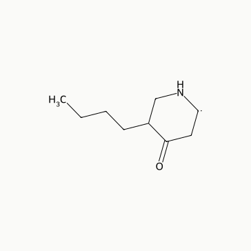 CCCCC1CN[CH]CC1=O